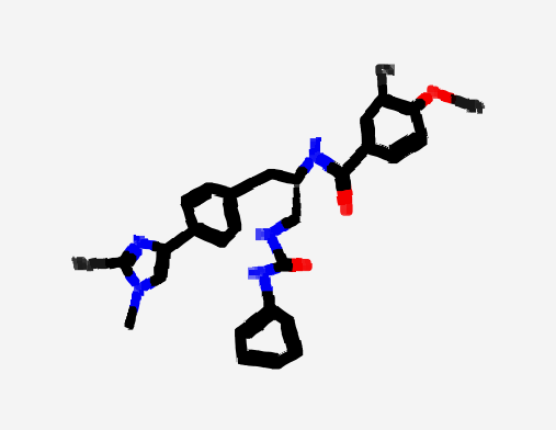 CC(C)Oc1ccc(C(=O)N[C@H](CNC(=O)Nc2ccccc2)Cc2ccc(-c3cn(C)c(C(C)(C)C)n3)cc2)cc1C#N